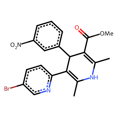 COC(=O)C1=C(C)NC(C)=C(c2ccc(Br)cn2)C1c1cccc([N+](=O)[O-])c1